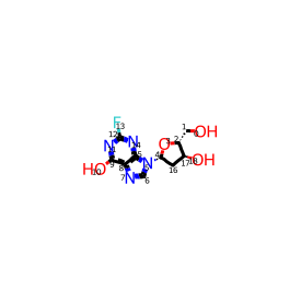 OC[C@H]1O[C@@H](n2cnc3c(O)nc(F)nc32)C[C@@H]1O